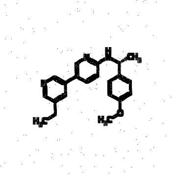 CCc1cncc(-c2ccc(N[C@H](C)c3ccc(OC)cc3)nc2)c1